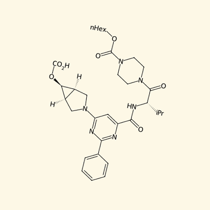 CCCCCCOC(=O)N1CCN(C(=O)[C@@H](NC(=O)c2cc(N3C[C@@H]4[C@H](C3)[C@@H]4OC(=O)O)nc(-c3ccccc3)n2)C(C)C)CC1